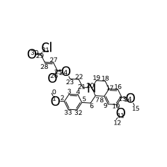 COc1ccc(CC2c3cc(OC)c(OC)cc3CCN2CCCOC(=O)C=CC(=O)Cl)cc1